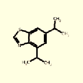 CC(C)c1cc(C(C)C)c2ncsc2c1